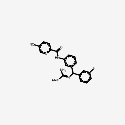 CO/C(N)=N/C(c1cccc(F)c1)c1cccc(NC(=O)c2ccc(C#N)cn2)c1